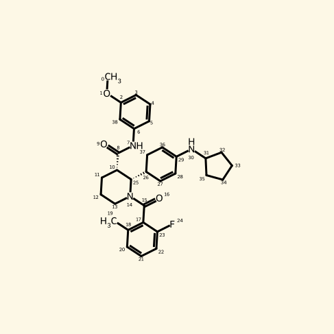 COc1cccc(NC(=O)[C@H]2CCCN(C(=O)c3c(C)cccc3F)[C@H]2C2C=CC(NC3CCCC3)=CC2)c1